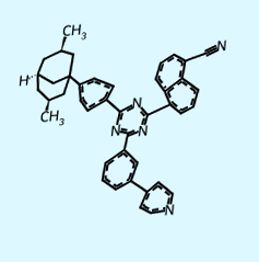 C[C@@H]1C[C@@H]2C[C@H](C)CC(c3ccc(-c4nc(-c5cccc(-c6ccncc6)c5)nc(-c5cccc6c(C#N)cccc56)n4)cc3)(C1)C2